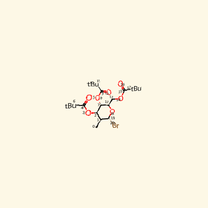 C[C@H]1[C@@H](OC(=O)C(C)(C)C)[C@H](OC(=O)C(C)(C)C)[C@@H](COC(=O)C(C)(C)C)O[C@@H]1Br